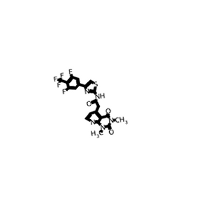 Cn1c(=O)c2c(CC(=O)Nc3nc(-c4cc(F)c(C(F)(F)F)c(F)c4)cs3)ccnc2n(C)c1=O